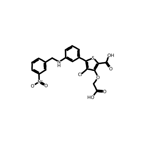 O=C(O)COc1c(C(=O)O)sc(-c2cccc(NCc3cccc([N+](=O)[O-])c3)c2)c1Cl